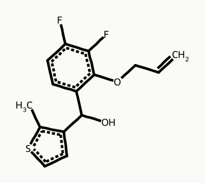 C=CCOc1c(C(O)c2ccsc2C)ccc(F)c1F